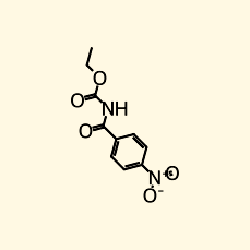 CCOC(=O)NC(=O)c1ccc([N+](=O)[O-])cc1